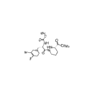 COC(=O)[C@@H]1CCCN(C(=O)[C@H](CN2CCC(F)=C(Br)C2)NC(=O)OC(C)(C)C)N1